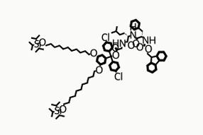 CC(C)CC[C@H](NC(=O)[C@H](Cc1ccccc1)NC(=O)OCC1c2ccccc2-c2ccccc21)C(=O)NCC(=O)OC(c1ccc(Cl)cc1)(c1ccc(Cl)cc1)c1cc(OCCCCCCCCCCCO[Si](C(C)C)(C(C)C)C(C)C)cc(OCCCCCCCCCCCO[Si](C(C)C)(C(C)C)C(C)C)c1